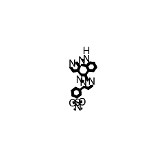 CN(C)S(=O)(=O)c1cccc(-c2ccnc3c(-c4cccc5[nH]ncc45)c(-c4ccncc4)nn23)c1